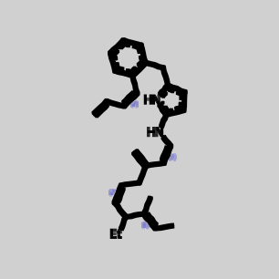 C=C/C=C\c1ccccc1Cc1ccc(N/C=C\C(=C)C/C=C\C(CC)/C(C)=C/C)[nH]1